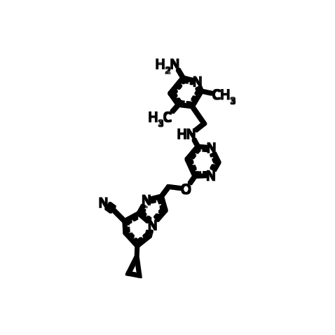 Cc1cc(N)nc(C)c1CNc1cc(OCc2cn3cc(C4CC4)cc(C#N)c3n2)ncn1